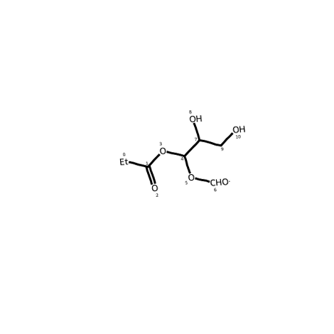 CCC(=O)OC(O[C]=O)C(O)CO